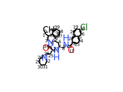 CCC(CN1CC[C@@H](CNC(=O)c2ccc3cc(Cl)ccc3c2)N[C@@H](CCN2CCCCC2)C1=O)c1ccccc1